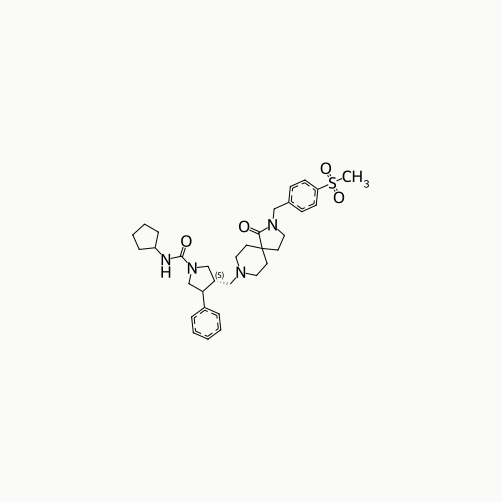 CS(=O)(=O)c1ccc(CN2CCC3(CCN(C[C@H]4CN(C(=O)NC5CCCC5)CC4c4ccccc4)CC3)C2=O)cc1